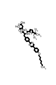 CCCCCCCOc1ccc(-c2cnc(-c3ccc(CC(NC(=O)c4ccc(C(C)(C)C)s4)C(=O)NC(CC(=O)O)C(=O)O)cc3)nc2)cc1